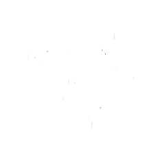 CCn1cc(C(=O)O)c(=O)c2c(Cl)c(F)ccc21